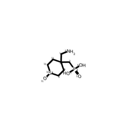 NCC1(CP(=O)(O)O)CC[S+]([O-])CC1